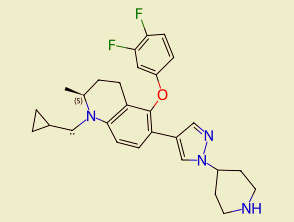 C[C@H]1CCc2c(ccc(-c3cnn(C4CCNCC4)c3)c2Oc2ccc(F)c(F)c2)N1[C]C1CC1